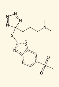 CN(C)CCCC1(Sc2nc3ccc(S(C)(=O)=O)cc3s2)N=NN=N1